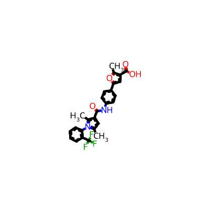 Cc1oc(-c2ccc(NC(=O)c3cc(C)n(-c4ccccc4C(F)(F)F)c3C)cc2)cc1C(=O)O